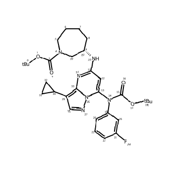 CC(C)(C)OC(=O)N1CCCC[C@H](Nc2cc(N(C(=O)OC(C)(C)C)c3cccc(F)c3)n3ncc(C4CC4)c3n2)C1